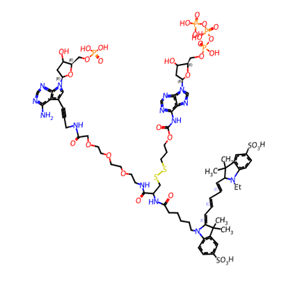 CCN1c2ccc(S(=O)(=O)O)cc2C(C)(C)C1/C=C/C=C/C=C1/N(CCCCCC(=O)NC(CSSCCCOC(=O)Nc2ncnc3c2ncn3[C@H]2CC(O)[C@@H](COP(=O)(O)OP(=O)(O)OP(=O)(O)O)O2)C(=O)NCCOCCOCCOCC(=O)NCC#Cc2cn([C@H]3CC(O)[C@@H](COP(=O)(O)O)O3)c3ncnc(N)c23)c2ccc(S(=O)(=O)O)cc2C1(C)C